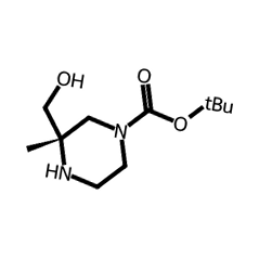 CC(C)(C)OC(=O)N1CCN[C@](C)(CO)C1